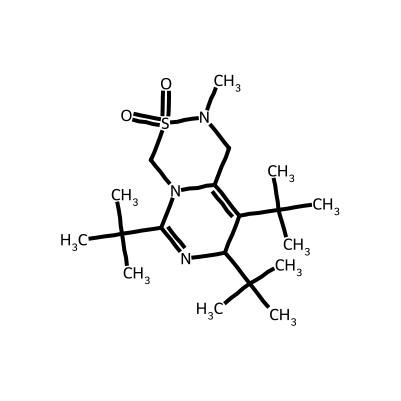 CN1CC2=C(C(C)(C)C)C(C(C)(C)C)N=C(C(C)(C)C)N2CS1(=O)=O